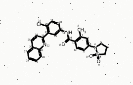 Cc1cc(N2CCCS2(=O)=O)ccc1C(=O)Nc1ccc(Cl)c(-c2ccc3ccccc3n2)c1